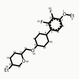 CCOc1ccc(C2CCC(OCC3CCC(CC)CO3)CC2)c(F)c1F